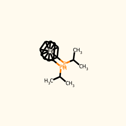 CC(C)P[C]12[CH]3[CH]4[CH]5[CH]1[Fe]45321678[CH]2[CH]1[CH]6[C]7(PC(C)C)[CH]28